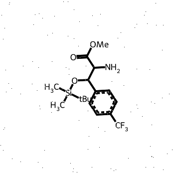 COC(=O)C(N)C(O[Si](C)(C)C(C)(C)C)c1ccc(C(F)(F)F)cc1